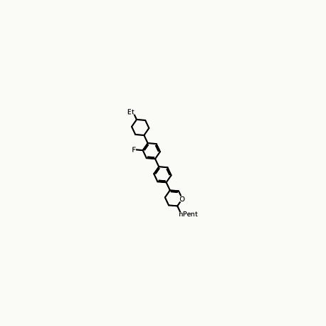 CCCCCC1CCC(c2ccc(-c3ccc(C4CCC(CC)CC4)c(F)c3)cc2)=CO1